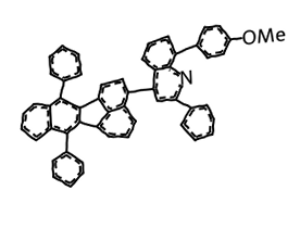 COc1ccc(-c2cccc3c(-c4ccc5c6c(cccc46)-c4c-5c(-c5ccccc5)c5ccccc5c4-c4ccccc4)cc(-c4ccccc4)nc23)cc1